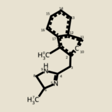 Cc1c(CC2=NC(C)CN2)ccc2ccccc12